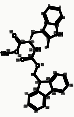 Cc1[nH]c2ccccc2c1C[C@H](NC(=O)OCC1c2ccccc2-c2ccccc21)C(=O)OC(C)(C)C